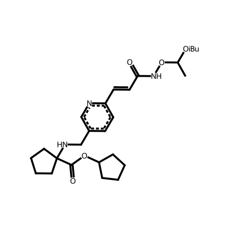 CC(C)COC(C)ONC(=O)C=Cc1ccc(CNC2(C(=O)OC3CCCC3)CCCC2)cn1